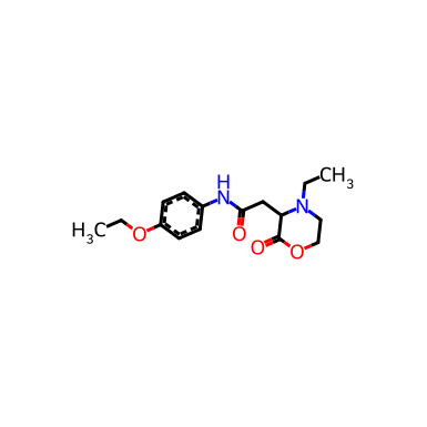 CCOc1ccc(NC(=O)CC2C(=O)OCCN2CC)cc1